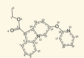 CCOC(=O)c1c2ccccc2n2cc(Oc3ccccn3)ccc12